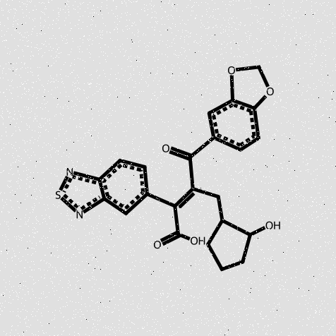 O=C(O)C(=C(CC1CCCC1O)C(=O)c1ccc2c(c1)OCO2)c1ccc2nsnc2c1